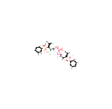 CC(C)=C(C(Cl)C(F)(F)O[PH](=O)OC(F)(F)C(Cl)C(=C(C)C)S(=O)(=O)c1ccccc1)S(=O)(=O)c1ccccc1